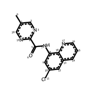 Cc1cnc(C(=O)Nc2cc(Cl)cc3cccnc23)nc1